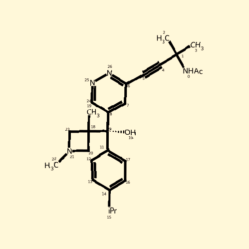 CC(=O)NC(C)(C)C#Cc1cc([C@@](O)(c2ccc(C(C)C)cc2)C2(C)CN(C)C2)cnn1